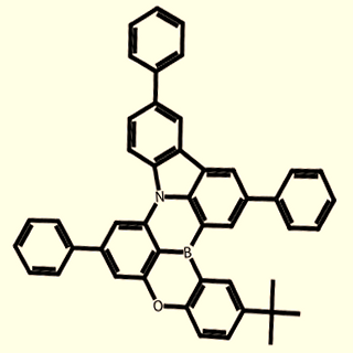 CC(C)(C)c1ccc2c(c1)B1c3c(cc(-c4ccccc4)cc3-n3c4ccc(-c5ccccc5)cc4c4cc(-c5ccccc5)cc1c43)O2